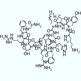 CSCC[C@H](NC(=O)[C@@H](NC(=O)[C@H](Cc1ccc(O)cc1)NC(=O)[C@@H](N)CCCCN)C(C)C)C(=O)NCC(=O)N[C@@H](Cc1c[nH]cn1)C(=O)N[C@H](Cc1ccccc1)C(=O)N[C@@H](CCCNC(=N)N)C(=O)N[C@H](Cc1c[nH]c2ccccc12)C(=O)N[C@@H](CC(=O)O)C(=O)N[C@@H](CCCNC(=N)N)C(=O)N[C@@H](Cc1ccccc1)C(=O)NCC(N)=O